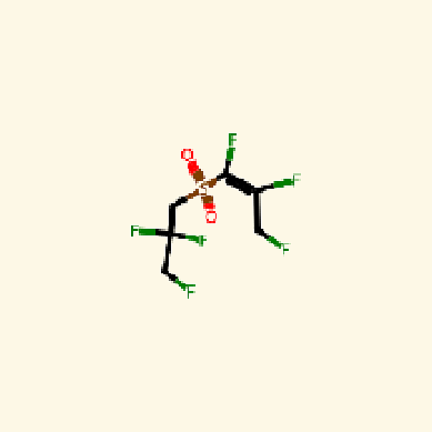 O=S(=O)(CC(F)(F)CF)/C(F)=C(/F)CF